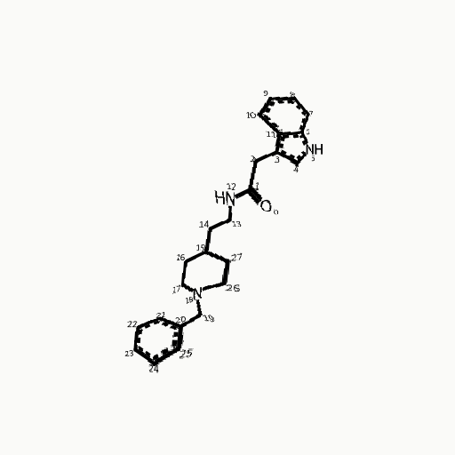 O=C(Cc1c[nH]c2ccccc12)NCCC1CCN(Cc2ccccc2)CC1